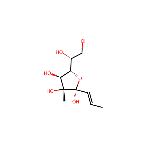 CC=C[C@]1(O)O[C@@H]([C@H](O)CO)[C@H](O)[C@@]1(C)O